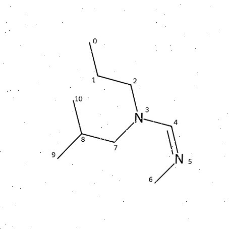 CCCN(/C=N\C)CC(C)C